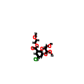 COC=C(Oc1ccc(Cl)cc1C(=O)OCCOC)C(=O)OC